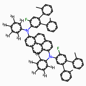 [2H]c1c([2H])c([2H])c(N(c2cc(-c3ccccc3C)c(-c3ccccc3C)cc2F)c2ccc3ccc4c(N(c5cc(-c6ccccc6C)c(-c6ccccc6C)cc5F)c5c([2H])c([2H])c([2H])c([2H])c5[2H])ccc5ccc2c3c54)c([2H])c1[2H]